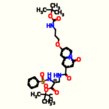 CC(C)(C)OC(=O)NCCCOc1ccn2c(=O)cc(C(=O)NC[C@H](NS(=O)(=O)c3ccccc3)C(=O)OC(C)(C)C)cc2c1